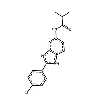 CC(C)C(=O)Nc1ccc2[nH]c(-c3ccc(Cl)cc3)nc2c1